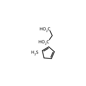 C1=CCC=C1.O=C(O)CC(=O)O.S